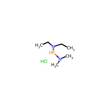 CCN(CC)PN(C)C.Cl